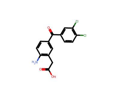 Nc1ccc(C(=O)c2ccc(Cl)c(Cl)c2)cc1CC(=O)O